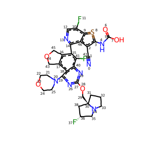 N#Cc1c(NC(=O)O)sc2c(F)cnc(-c3c4c(c5c(N6CCOCC6)nc(OC[C@@]67CCCN6C[C@H](F)C7)nc5c3F)COC4)c12